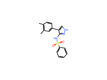 Cc1ccc(-c2c[nH]nc2NS(=O)(=O)c2ccccc2)cc1C